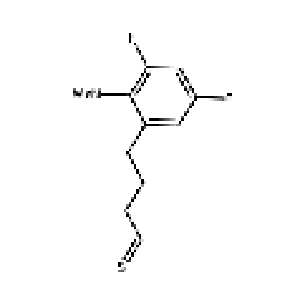 CNc1c(F)cc(F)cc1CCCC=S